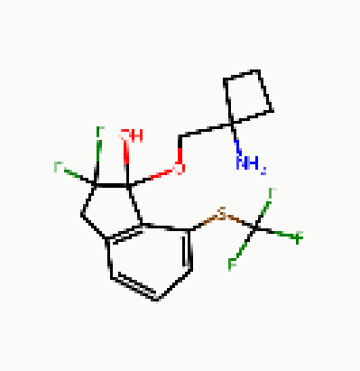 NC1(COC2(O)c3c(cccc3SC(F)(F)F)CC2(F)F)CCC1